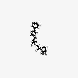 CC(C)(CCn1cnc(-c2cccnc2)c1)NCC(=O)N1CCCC1N